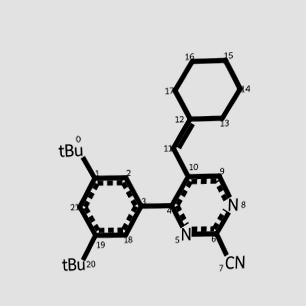 CC(C)(C)c1cc(-c2nc(C#N)ncc2C=C2CCCCC2)cc(C(C)(C)C)c1